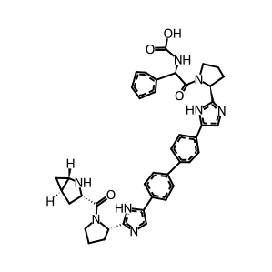 O=C(O)N[C@@H](C(=O)N1CCC[C@H]1c1ncc(-c2ccc(-c3ccc(-c4cnc([C@@H]5CCCN5C(=O)[C@@H]5C[C@H]6C[C@@H]6N5)[nH]4)cc3)cc2)[nH]1)c1ccccc1